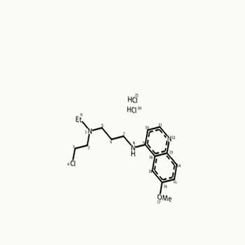 CCN(CCCl)CCCNc1ccnc2ccc(OC)cc12.Cl.Cl